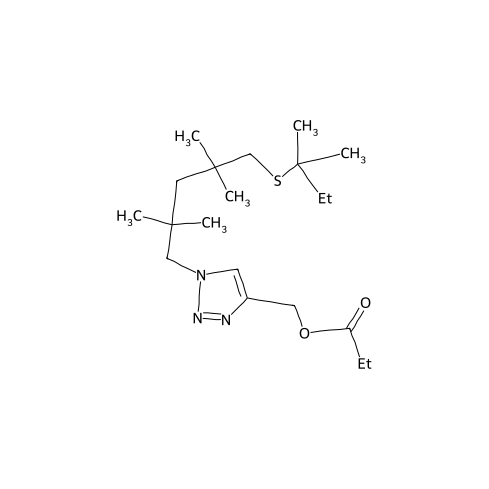 CCC(=O)OCc1cn(CC(C)(C)CC(C)(C)CSC(C)(C)CC)nn1